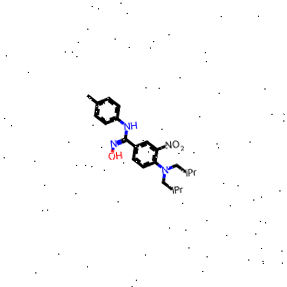 Cc1ccc(NC(=NO)c2ccc(N(CC(C)C)CC(C)C)c([N+](=O)[O-])c2)cc1